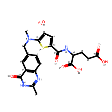 Cc1nc2ccc(CN(C)c3ccc(C(=O)NC(CCC(=O)O)C(=O)O)s3)cc2c(=O)[nH]1.O